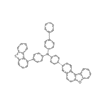 c1ccc(-c2ccc(N(c3ccc(-c4ccc5c(ccc6oc7ccccc7c65)c4)cc3)c3ccc(-c4cccc5sc6ccccc6c45)cc3)cc2)cc1